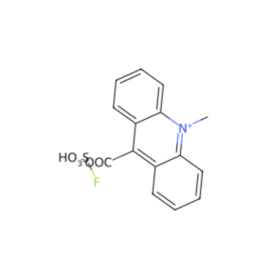 C[n+]1c2ccccc2c(C(=O)[O-])c2ccccc21.O=S(=O)(O)F